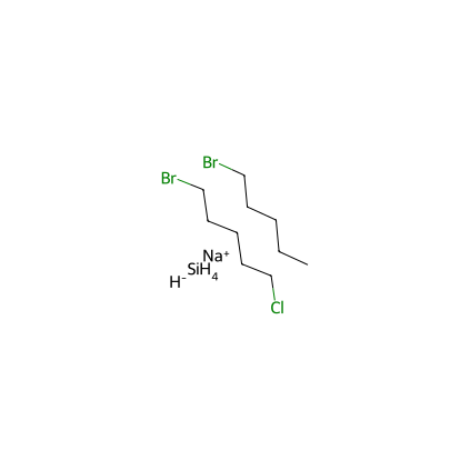 CCCCCBr.ClCCCCCBr.[H-].[Na+].[SiH4]